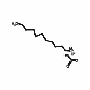 O=[S-](=O)O.[CH2]CCCCCCCCCCC.[Li+]